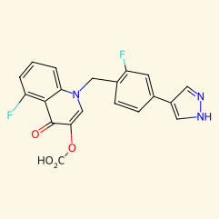 O=C(O)Oc1cn(Cc2ccc(-c3cn[nH]c3)cc2F)c2cccc(F)c2c1=O